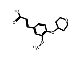 COc1cc(/C=C/C(=O)O)ccc1OC1CCOCC1